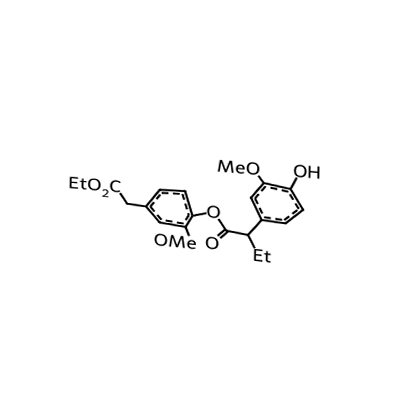 CCOC(=O)Cc1ccc(OC(=O)C(CC)c2ccc(O)c(OC)c2)c(OC)c1